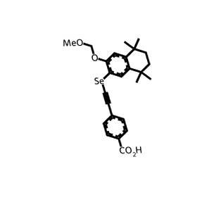 COCOc1cc2c(cc1[Se]C#Cc1ccc(C(=O)O)cc1)C(C)(C)CCC2(C)C